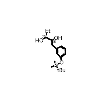 CC[C@H](O)[C@@H](O)Cc1cccc(O[Si](C)(C)C(C)(C)C)c1